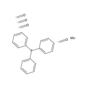 [C]=O.[C]=O.[C]=O.[C]=O.[Mn].c1ccc(P(c2ccccc2)c2ccccc2)cc1